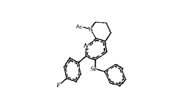 CC(=O)N1CCCc2cc([Se]c3ccccc3)c(-c3ccc(F)cc3)nc21